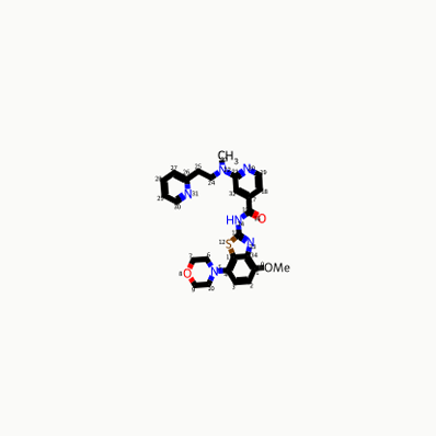 COc1ccc(N2CCOCC2)c2sc(NC(=O)c3ccnc(N(C)CCc4ccccn4)c3)nc12